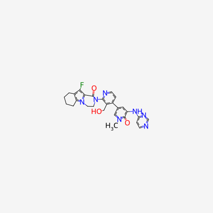 Cn1cc(-c2ccnc(N3CCn4c5c(c(F)c4C3=O)CCCC5)c2CO)cc(Nc2ccncn2)c1=O